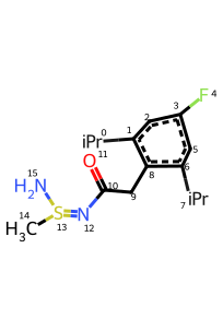 CC(C)c1cc(F)cc(C(C)C)c1CC(=O)/N=S(/C)N